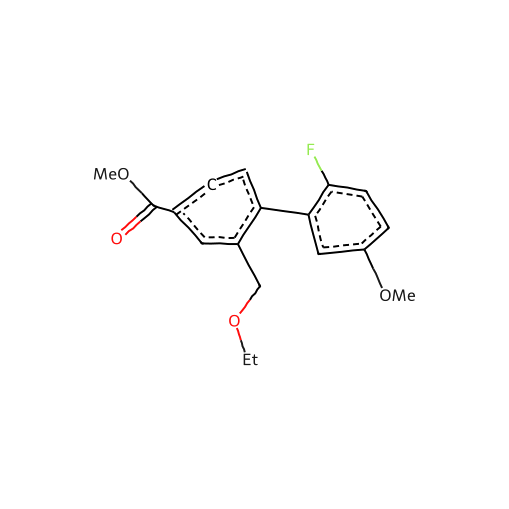 CCOCc1cc(C(=O)OC)ccc1-c1cc(OC)ccc1F